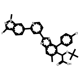 Cc1cc2nc(-c3ccnc(-c4ccc5c(F)nn(C)c5c4)c3)sc2c(-c2ccc(Cl)cc2)c1C(OC(C)(C)C)C(=O)O